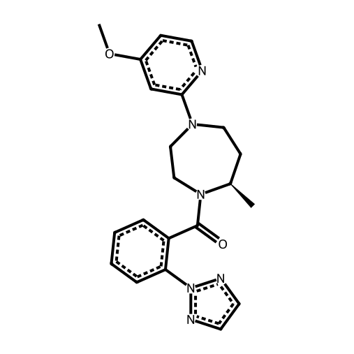 COc1ccnc(N2CC[C@@H](C)N(C(=O)c3ccccc3-n3nccn3)CC2)c1